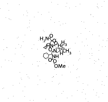 COCOC(=O)N[C@H](C(=O)N1C[C@H]2[C@@H]([C@H]1C(=O)NC(CC1CC1)C(=O)C(N)=O)C2(C)C)C1CCCCC1